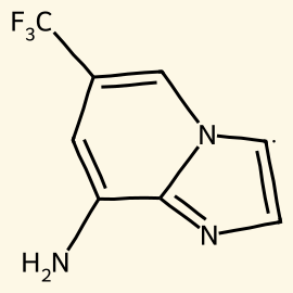 Nc1cc(C(F)(F)F)cn2[c]cnc12